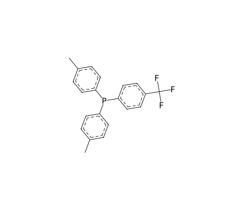 Cc1ccc(P(c2ccc(C)cc2)c2ccc(C(F)(F)F)cc2)cc1